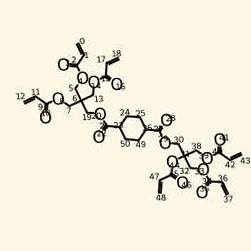 C=CC(=O)OCC(COC(=O)C=C)(COC(=O)C=C)COC(=O)C1CCC(C(=O)OCC(COC(=O)C=C)(COC(=O)C=C)OC(=O)C=C)CC1